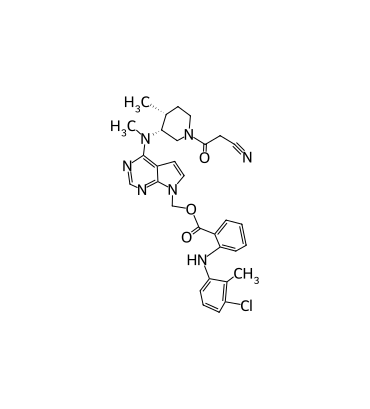 Cc1c(Cl)cccc1Nc1ccccc1C(=O)OCn1ccc2c(N(C)[C@H]3CN(C(=O)CC#N)CC[C@H]3C)ncnc21